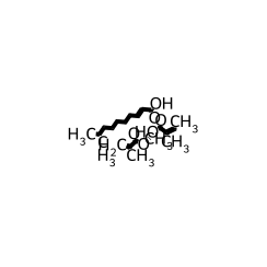 C=C(C)C(=O)OC.CC(C)CCCCCC=CC(=O)O.CC=C(C)C(=O)O